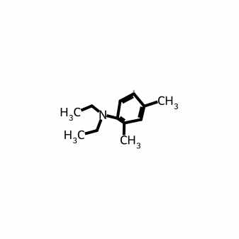 CCN(CC)c1c[c]c(C)cc1C